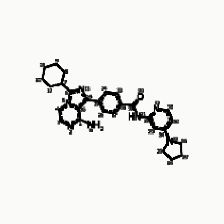 Nc1nccn2c(C3CCCCC3)nc(-c3ccc(C(=O)Nc4cc(N5CCCC5)ccn4)cc3)c12